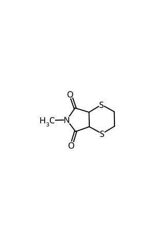 CN1C(=O)C2SCCSC2C1=O